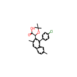 Cc1ccc2cc(C)c(C(OC(C)(C)C)C(=O)O)c(-c3ccc(Cl)cc3)c2c1